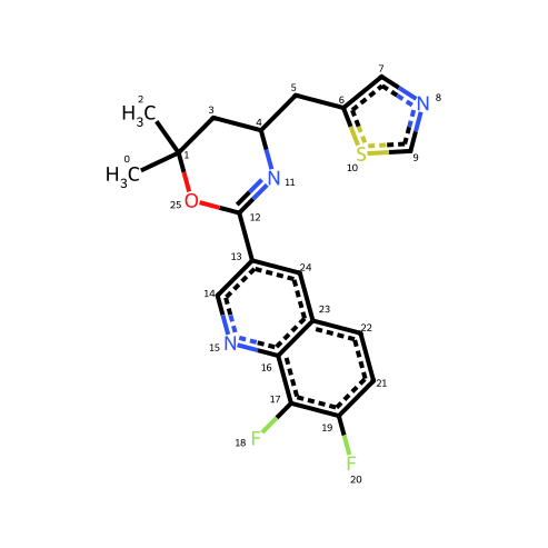 CC1(C)CC(Cc2cncs2)N=C(c2cnc3c(F)c(F)ccc3c2)O1